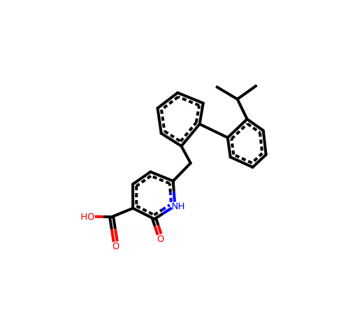 CC(C)c1ccccc1-c1ccccc1Cc1ccc(C(=O)O)c(=O)[nH]1